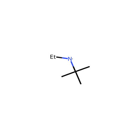 CC[N]C(C)(C)C